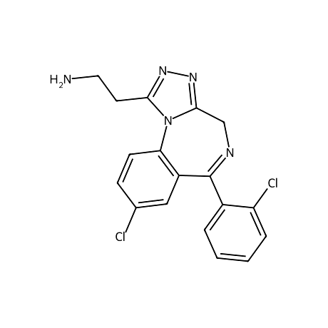 NCCc1nnc2n1-c1ccc(Cl)cc1C(c1ccccc1Cl)=NC2